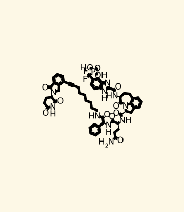 NC(=O)CC[C@H](NC(=O)[C@@H]1Cc2cccc3c2N1C(=O)[C@@H](NC(=O)c1nc2cc(C(F)(F)P(=O)(O)O)ccc2[nH]1)CC3)C(=O)N[C@H](C(=O)NCCCCCCCC#Cc1cccc2c1CN(C1CCC(=O)NC1=O)C2=O)c1ccccc1